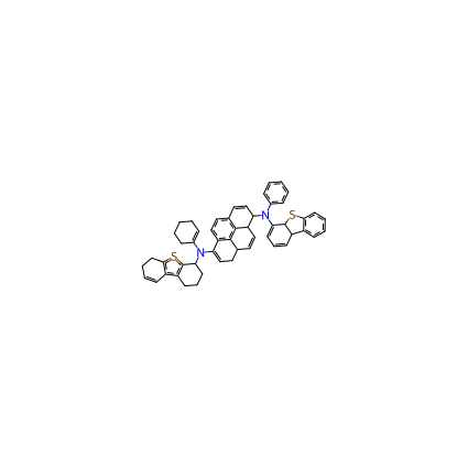 C1=CC2c3ccccc3SC2C(N(c2ccccc2)C2C=Cc3ccc4c5c3C2C=CC5CC=C4N(C2=CCCCC2)C2CCCc3c2sc2c3C=CCC2)=C1